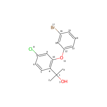 CC(C)(O)c1ccc(Cl)cc1Oc1cccc(Br)c1